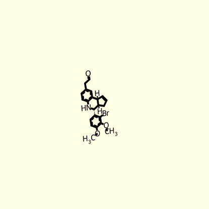 COc1ccc([C@@H]2Nc3ccc(CC=O)cc3[C@@H]3C=CC[C@@H]32)c(Br)c1OC